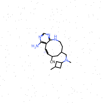 CC1CC(N(C)CC2CCNc3ncnc(N)c3/C=C\C(C#N)C2)C1